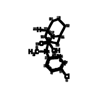 CN(c1ccc(Cl)nn1)C1CC2CCC[C@@H](C1)N2C(=O)O